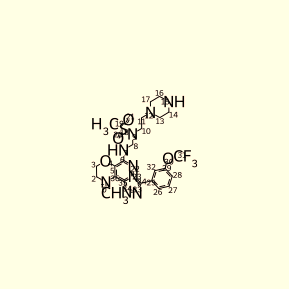 CN1CCOc2c(NCN(CCN3CCNCC3)S(C)(=O)=O)nn3c(-c4cccc(OC(F)(F)F)c4)nnc3c21